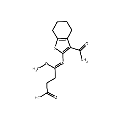 COC(CCC(=O)O)=Nc1sc2c(c1C(N)=O)CCCC2